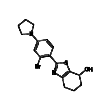 OC1CCCc2nc(-c3ccc(N4CCCC4)cc3Br)sc21